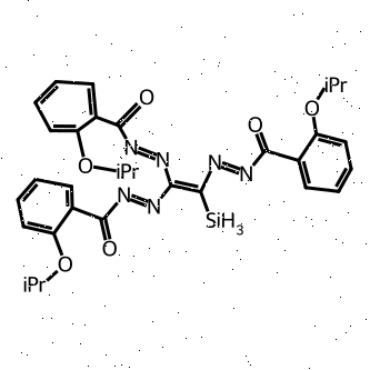 CC(C)Oc1ccccc1C(=O)N=NC([SiH3])=C(N=NC(=O)c1ccccc1OC(C)C)N=NC(=O)c1ccccc1OC(C)C